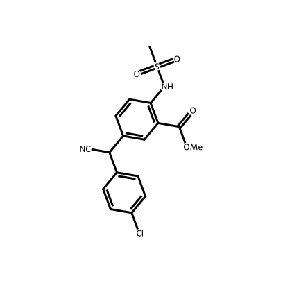 COC(=O)c1cc(C(C#N)c2ccc(Cl)cc2)ccc1NS(C)(=O)=O